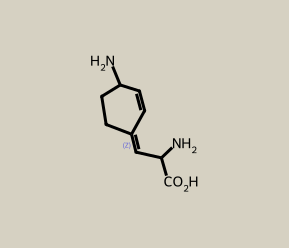 NC1C=C/C(=C\C(N)C(=O)O)CC1